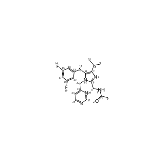 CC(=O)NCc1nc(C(C)C)c(Sc2cc(F)cc(F)c2)n1Cc1ccccn1